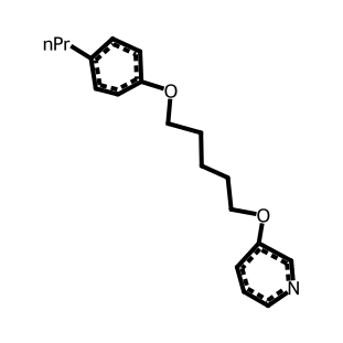 CCCc1ccc(OCCCCCOc2cccnc2)cc1